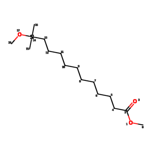 COC(=O)CCCCCCCCCC[Si](C)(C)OC